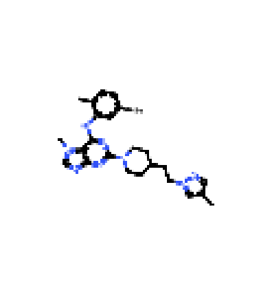 Cc1cnn(CCC2CCN(c3nc(Nc4cc(C(C)(C)C)ccc4C)c4c(ncn4C)n3)CC2)c1